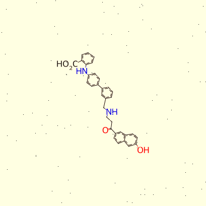 O=C(CCNCc1cccc(-c2ccc(Nc3ccccc3C(=O)O)cc2)c1)c1ccc2cc(O)ccc2c1